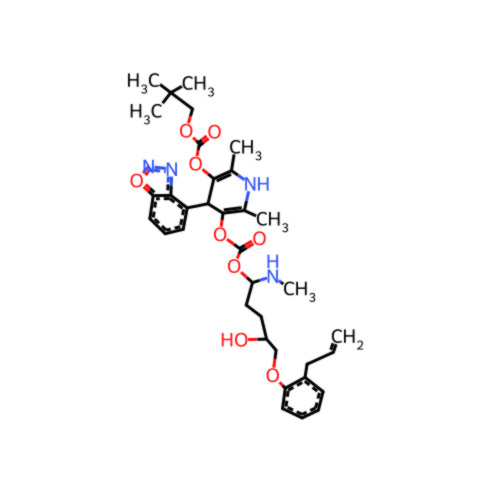 C=CCc1ccccc1OCC(O)CCC(NC)OC(=O)OC1=C(C)NC(C)=C(OC(=O)OCC(C)(C)C)C1c1cccc2onnc12